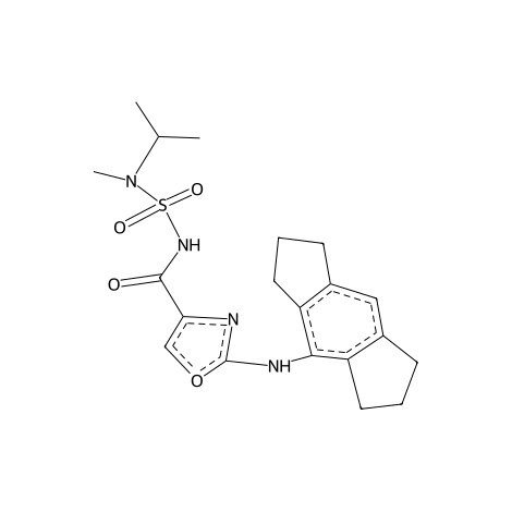 CC(C)N(C)S(=O)(=O)NC(=O)c1coc(Nc2c3c(cc4c2CCC4)CCC3)n1